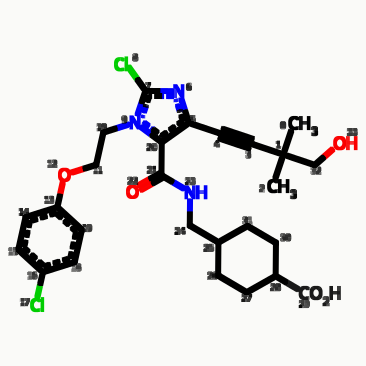 CC(C)(C#Cc1nc(Cl)n(CCOc2ccc(Cl)cc2)c1C(=O)NCC1CCC(C(=O)O)CC1)CO